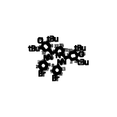 CC(C)(C)C1=CC(=C(/N=N/c2ccc(Br)cc2)c2cccc(C(/N=N/c3ccc(Br)cc3)=C3C=C(C(C)(C)C)C(=O)C(C(C)(C)C)=C3)n2)C=C(C(C)(C)C)C1=O